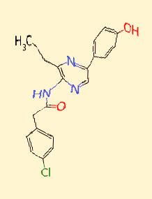 CCCc1nc(-c2ccc(O)cc2)cnc1NC(=O)Cc1ccc(Cl)cc1